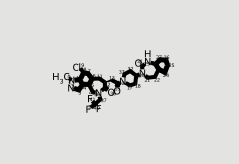 Cn1ncc2c3c(cc(Cl)c21)C[C@@H](CC(=O)N1CCC(N2CCc4ccccc4NC2=O)CC1)C(=O)N(CC(F)(F)F)C3